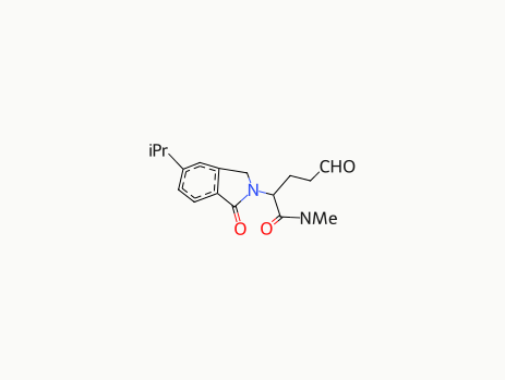 CNC(=O)C(CCC=O)N1Cc2cc(C(C)C)ccc2C1=O